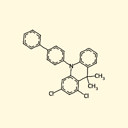 CC1(C)c2ccccc2N(c2ccc(-c3ccccc3)cc2)c2cc(Cl)cc(Cl)c21